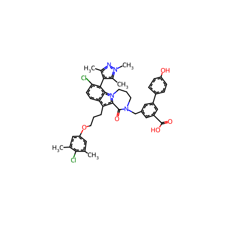 Cc1cc(OCCCc2c3n(c4c(-c5c(C)nn(C)c5C)c(Cl)ccc24)CCCN(Cc2cc(C(=O)O)cc(-c4ccc(O)cc4)c2)C3=O)cc(C)c1Cl